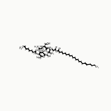 CCCCCCCCCCCCCCCCCCCCCC(=O)OC(=O)CC[C@@H](NC(=O)[C@H](CO)NCC(C)O[C@H]1[C@H](O)[C@@H](CO)O[C@H](O)[C@@H]1NC(=O)CCCCCCC)C(N)=O